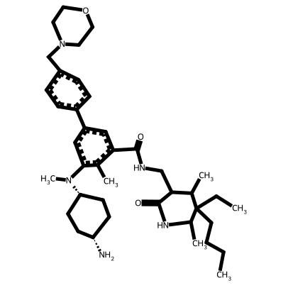 CCCCC1(CC)C(C)NC(=O)C(CNC(=O)c2cc(-c3ccc(CN4CCOCC4)cc3)cc(N(C)[C@H]3CC[C@@H](N)CC3)c2C)C1C